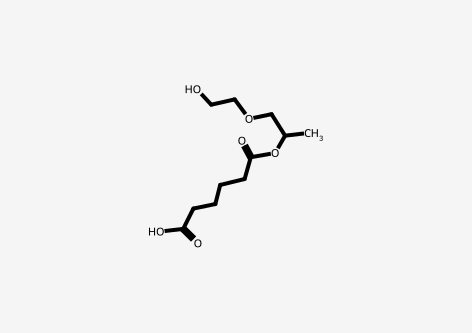 CC(COCCO)OC(=O)CCCCC(=O)O